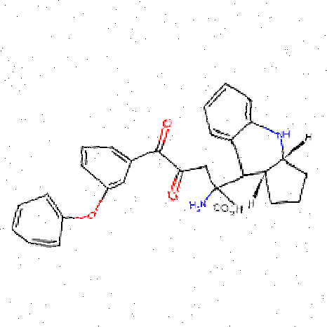 NC(CC(=O)C(=O)c1cccc(Oc2ccccc2)c1)(C(=O)O)C1c2ccccc2N[C@@H]2CCC[C@H]12